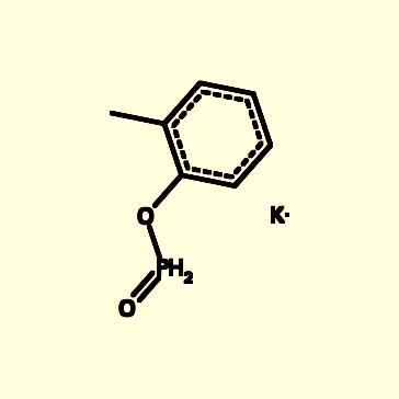 Cc1ccccc1O[PH2]=O.[K]